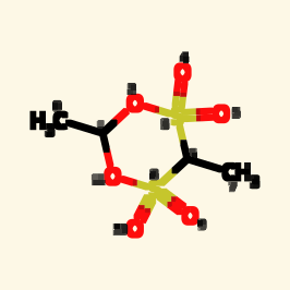 CC1OS(=O)(=O)C(C)S(=O)(=O)O1